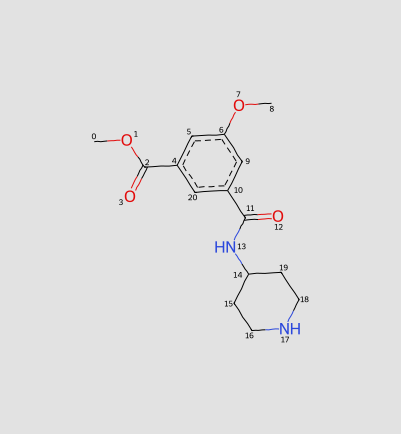 COC(=O)c1cc(OC)cc(C(=O)NC2CCNCC2)c1